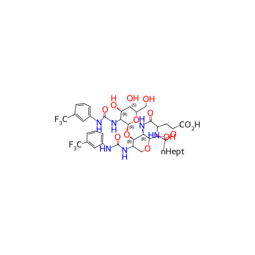 CCCCCCCC(=O)NC(CCC(=O)O)C(=O)N[C@H]1C(CO)OCC(NC(=O)Nc2cccc(C(F)(F)F)c2)[C@H]1O[C@@H]1OC(CO)[C@@H](O)[C@H](O)C1NC(=O)Nc1cccc(C(F)(F)F)c1